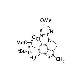 COC(=O)[C@@H](OC(C)(C)C)c1c(Cl)c2c3c(cc(C)n3CCN2c2ncc(OC)cn2)c1C